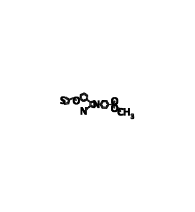 CCOC(=O)c1ccc(-n2cc(C#N)c(-c3cccc(OCc4ccsc4)c3)c2)cc1